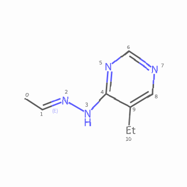 C/C=N/Nc1ncncc1CC